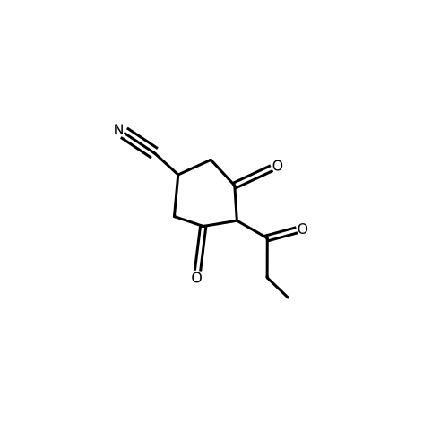 CCC(=O)C1C(=O)CC(C#N)CC1=O